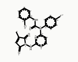 CC1=CC(=O)N(Nc2nccc(N(C(=O)Nc3ccccc3Cl)c3ccc(F)cc3)n2)C1=O